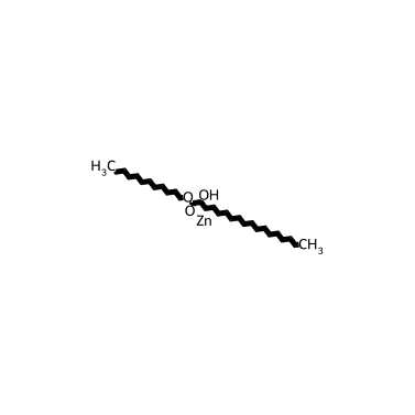 CCCCCCCCCCCCCCCCC(O)C(=O)OCCCCCCCCCCCC.[Zn]